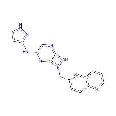 c1cnc2ccc(Cn3[nH]c4ncc(Nc5cc[nH]n5)nc43)cc2c1